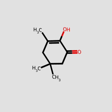 CC1=C(O)C(=O)CC(C)(C)C1